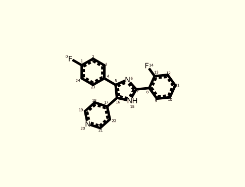 Fc1ccc(-c2nc(-c3ccccc3F)[nH]c2-c2ccncc2)cc1